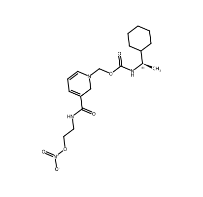 C[C@@H](NC(=O)OCN1C=CC=C(C(=O)NCCO[N+](=O)[O-])C1)C1CCCCC1